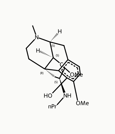 CCCN[C@H]1C[C@@]23CCN(C)[C@@H](Cc4ccc(OC)c(O)c42)[C@H]3CC1OC